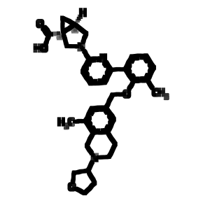 Cc1cc(COc2c(C)cccc2-c2cccc(N3C[C@@H]4C[C@]4(C(=O)O)C3)n2)cc2c1CN(C1CCOC1)CC2